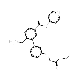 NCc1ccc(C(=O)Nc2ccncc2)cc1-c1cccc(OCC(=O)SCF)c1